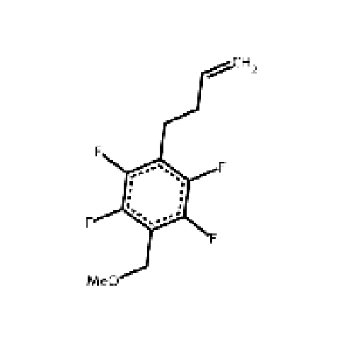 C=CCCc1c(F)c(F)c(COC)c(F)c1F